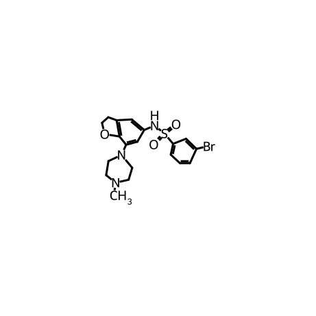 CN1CCN(c2cc(NS(=O)(=O)c3cccc(Br)c3)cc3c2OCC3)CC1